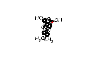 CN(C)c1cccc2c(S(=O)(=O)c3cccc4c3C(=O)OC43c4ccc(O)cc4Oc4cc(O)ccc43)cccc12